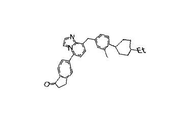 CCC1CCC(c2ccc(Cc3ccc(-c4ccc5c(c4)CCC5=O)n4ccnc34)cc2C)CC1